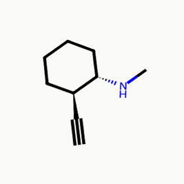 C#C[C@H]1CCCC[C@@H]1NC